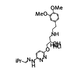 COc1ccc(CCNCC(O)COc2ccc(N/N=C/C(C)C)nn2)cc1OC.Cl.Cl